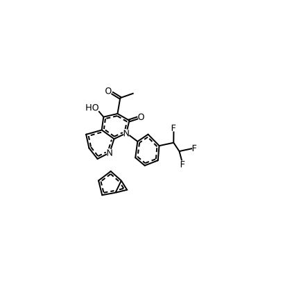 CC(=O)c1c(O)c2cccnc2n(-c2cccc(C(F)C(F)F)c2)c1=O.c1cc2cc-2c1